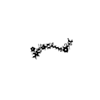 CC(=O)c1c(C)c2cnc(Nc3ccc(N4CCN(C(=O)CCCCCCNc5cccc(C(=O)NC6=NC(C)C(C)S6)c5C)CC4)cn3)nc2n(C2CCCC2)c1=O